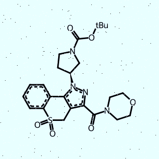 CC(C)(C)OC(=O)N1CC[C@H](n2nc(C(=O)N3CCOCC3)c3c2-c2ccccc2S(=O)(=O)C3)C1